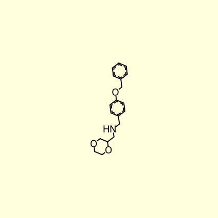 c1ccc(COc2ccc(CNCC3COCCO3)cc2)cc1